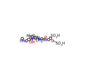 COc1cc(N=Nc2ccc(C(=O)Nc3ccc4c(OCCCS(=O)(=O)O)cc(S(=O)(=O)O)cc4c3)cc2)c(C)cc1N=Nc1c(S(=O)(=O)O)cc2cc(Nc3ccccc3)ccc2c1O